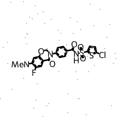 CNc1cc2c(cc1F)C(=O)N(c1ccc(C(=O)NS(=O)(=O)c3ccc(Cl)s3)cc1)CO2